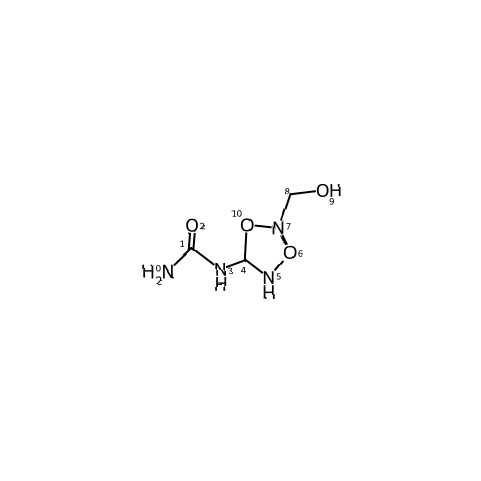 NC(=O)NC1NON(CO)O1